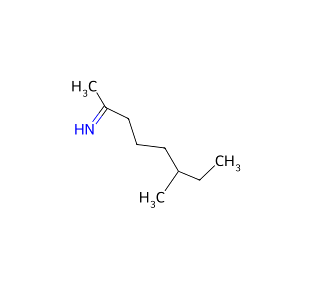 CCC(C)CCCC(C)=N